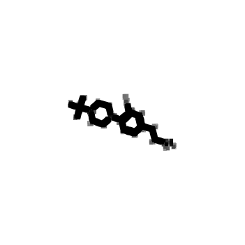 CC(C)(C)N1CCN(c2ccc(CCN)cc2F)CC1